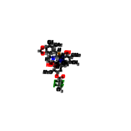 COc1cc2c(cc1OC(=O)C(F)(F)C(F)(F)C(F)(F)F)CCN[C@]21CS[C@@H]2c3c(OC(C)=O)c(C)c4c(c3[C@H](COC1=O)N1C2[C@@H]2c3c(cc(C)c(OC)c3O)C[C@H]([C@@H]1O)N2C)OCO4